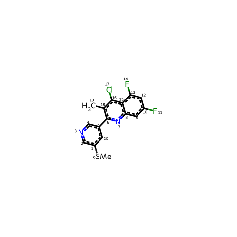 CSc1cncc(-c2nc3cc(F)cc(F)c3c(Cl)c2C)c1